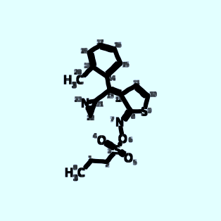 CCCS(=O)(=O)O/N=C1\SC=C\C1=C(/c1ccccc1C)C1C=N1